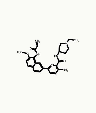 C=CC(=O)Nc1c(OC)ccc2ccc(-c3ccc(N)c(C(=O)NC4CCN(CC)CC4)n3)cc12